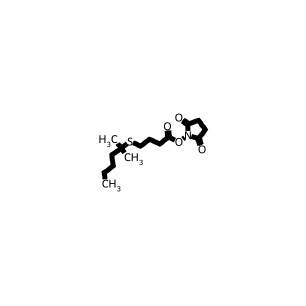 CCCCC(C)(C)SCCCC(=O)ON1C(=O)CCC1=O